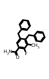 Cc1c(F)c(C(N)=O)cc(Cc2ccccc2)c1Cc1ccccc1